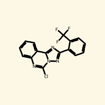 FC(F)(F)c1ccccc1-c1nc2c3ccccc3nc(Cl)n2n1